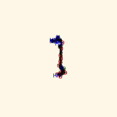 C[C@@H](NC(=O)c1cccc(NC2(c3nnc(-c4ccncc4)[nH]3)CCN(C)CC2)c1)c1cccc(OCCCCCCOCCOCCOCCCC(=O)N2CCN(c3cc4c(cc3F)C(=O)C=C(CC3CCC(=O)NC3=O)C4=O)CC2)c1